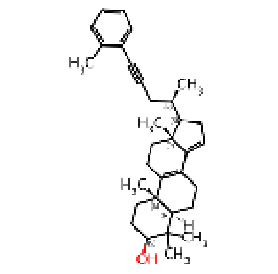 Cc1ccccc1C#CC[C@@H](C)[C@H]1CC=C2C3=C(CC[C@@]21C)[C@@]1(C)CC[C@H](O)C(C)(C)[C@@H]1CC3